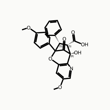 COc1ccc(C23Oc4cc(OC)cnc4[C@@](O)(C2=O)[C@@H](C(=O)O)[C@H]3c2ccccc2)cc1